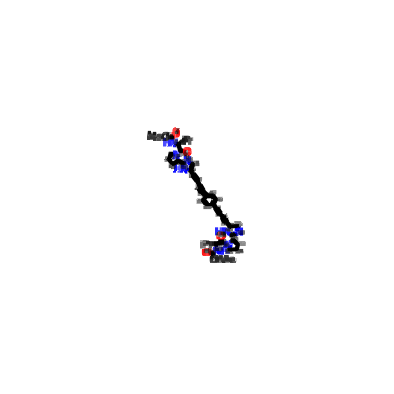 COC(=O)NC(C(=O)N1CCCC1c1ncc(C#CC#Cc2ccc(C#CC#Cc3cnc([C@@H]4CCCN4C(=O)C(NC(=O)OC)C(C)C)[nH]3)cc2)[nH]1)C(C)C